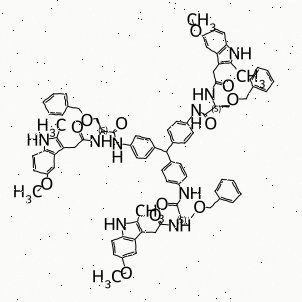 COc1ccc2[nH]c(C)c(CC(=O)N[C@@H](COCc3ccccc3)C(=O)Nc3ccc(C(c4ccc(NC(=O)[C@H](COCc5ccccc5)NC(=O)Cc5c(C)[nH]c6ccc(OC)cc56)cc4)c4ccc(NC(=O)[C@H](COCc5ccccc5)NC(=O)Cc5c(C)[nH]c6ccc(OC)cc56)cc4)cc3)c2c1